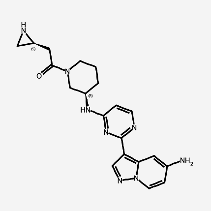 Nc1ccn2ncc(-c3nccc(N[C@@H]4CCCN(C(=O)C[C@H]5CN5)C4)n3)c2c1